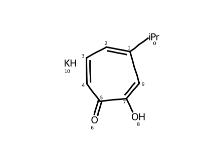 CC(C)c1cccc(=O)c(O)c1.[KH]